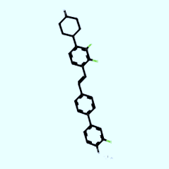 CCC1CCC(c2ccc(/C=C/c3ccc(-c4ccc(OC)c(F)c4)cc3)c(F)c2F)CC1